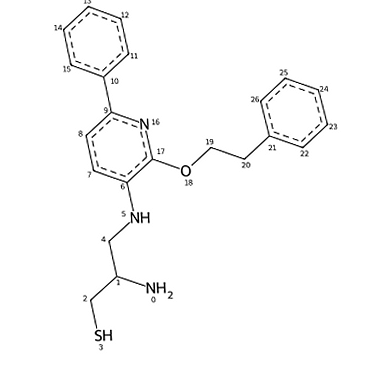 NC(CS)CNc1ccc(-c2ccccc2)nc1OCCc1ccccc1